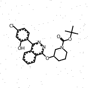 CC(C)(C)OC(=O)N1CCCC(Oc2nnc(-c3ccc(Cl)cc3O)c3ccccc23)C1